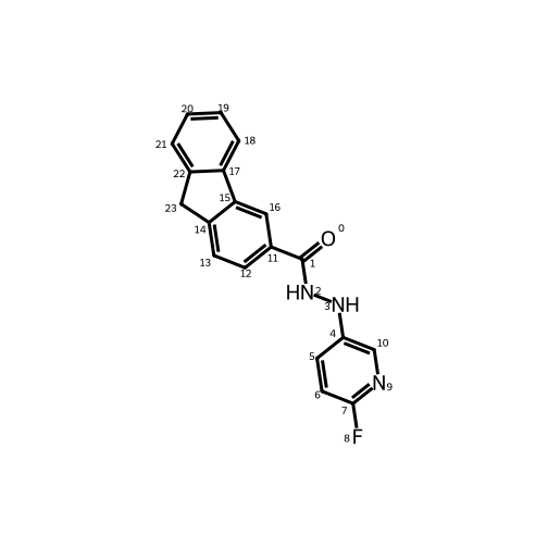 O=C(NNc1ccc(F)nc1)c1ccc2c(c1)-c1ccccc1C2